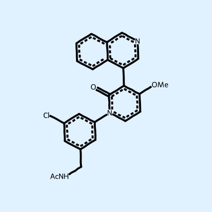 COc1ccn(-c2cc(Cl)cc(CNC(C)=O)c2)c(=O)c1-c1cncc2ccccc12